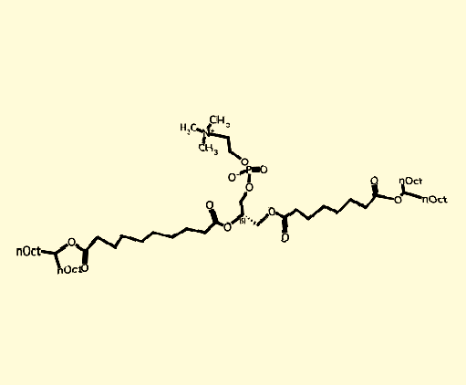 CCCCCCCCC(CCCCCCCC)OC(=O)CCCCCCCCC(=O)O[C@@H](COC(=O)CCCCCCC(=O)OC(CCCCCCCC)CCCCCCCC)COP(=O)([O-])OCC[N+](C)(C)C